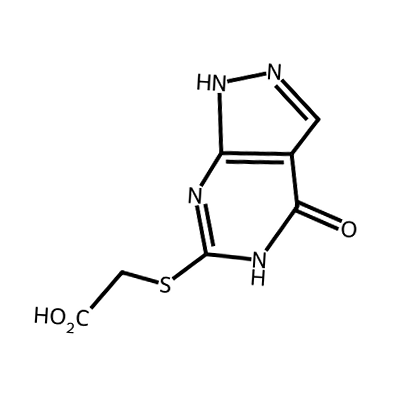 O=C(O)CSc1nc2[nH]ncc2c(=O)[nH]1